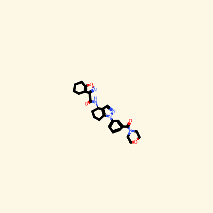 O=C(N[C@@H]1CCCc2c1cnn2-c1cccc(C(=O)N2CCOCC2)c1)c1noc2c1CCCC2